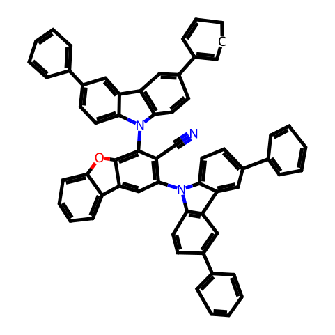 N#Cc1c(-n2c3ccc(-c4ccccc4)cc3c3cc(-c4ccccc4)ccc32)cc2c(oc3ccccc32)c1-n1c2ccc(C3=CCCC=C3)cc2c2cc(-c3ccccc3)ccc21